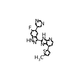 Cc1ccc(-c2ccnc3[nH]c(-c4n[nH]c5cc(F)c(-c6cncnc6)cc45)nc23)s1